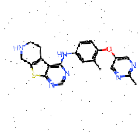 Cc1ncc(Oc2ccc(Nc3ncnc4sc5c(c34)CCNC5)cc2C)cn1